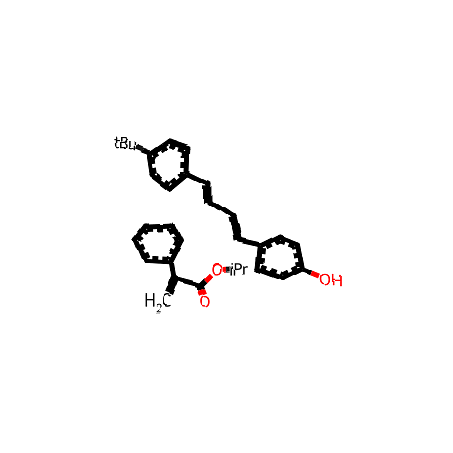 C=C(C(=O)OC(C)C)c1ccccc1.CC(C)(C)c1ccc(C=CC=Cc2ccc(O)cc2)cc1